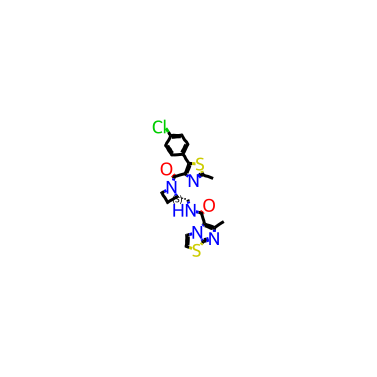 Cc1nc(C(=O)N2CC[C@H]2CNC(=O)c2c(C)nc3sccn23)c(-c2ccc(Cl)cc2)s1